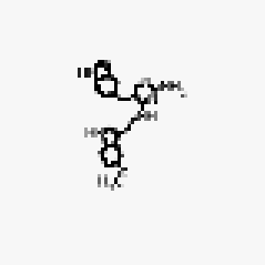 COc1ccc2[nH]cc(CCNc3nc(N)ncc3Cc3ccc4[nH]ccc4c3)c2c1